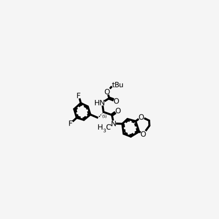 CN(C(=O)[C@H](Cc1cc(F)cc(F)c1)NC(=O)OC(C)(C)C)c1ccc2c(c1)OCCO2